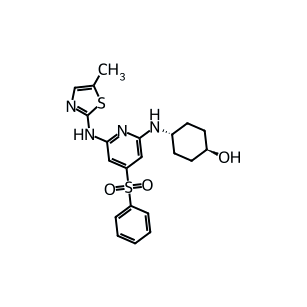 Cc1cnc(Nc2cc(S(=O)(=O)c3ccccc3)cc(N[C@H]3CC[C@H](O)CC3)n2)s1